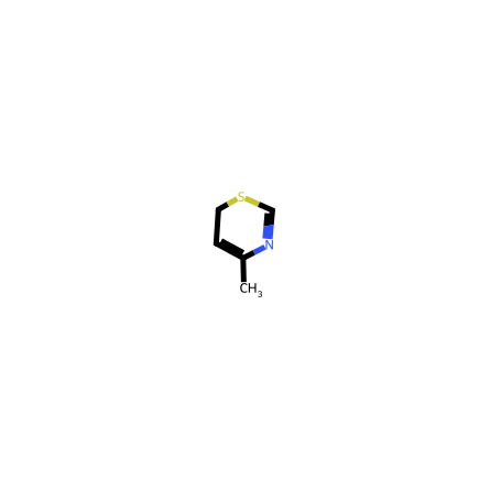 CC1=CCSC=N1